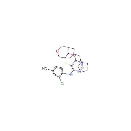 N#Cc1ccc(Nc2ncnc(OC3C4COCC3CN(CC3CCCC3)C4)c2F)c(Cl)c1